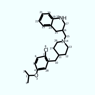 CC(C)Oc1ccc(Cl)c(CC2CCN(CC3CNc4ccccc4C3)CC2)c1